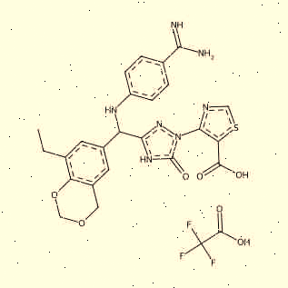 CCc1cc(C(Nc2ccc(C(=N)N)cc2)c2nn(-c3ncsc3C(=O)O)c(=O)[nH]2)cc2c1OCOC2.O=C(O)C(F)(F)F